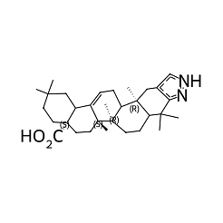 CC1(C)CC[C@]2(C(=O)O)CC[C@]3(C)C(=CCC4[C@@]5(C)Cc6c[nH]nc6C(C)(C)C5CC[C@]43C)C2C1